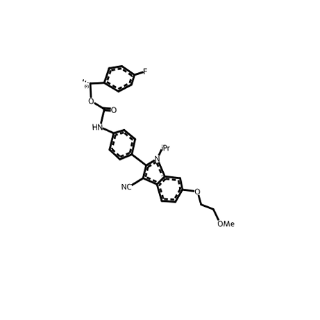 COCCOc1ccc2c(C#N)c(-c3ccc(NC(=O)O[C@H](C)c4ccc(F)cc4)cc3)n(C(C)C)c2c1